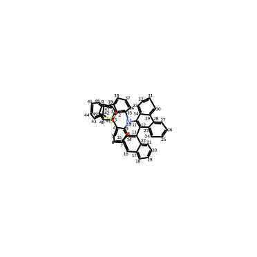 c1ccc(-c2ccccc2N(c2c(-c3cccc4ccccc34)c3ccccc3c3ccccc23)c2cccc3c2sc2ccccc23)cc1